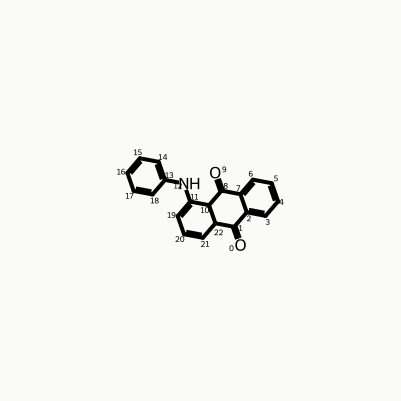 O=C1c2ccccc2C(=O)C2C(Nc3ccccc3)=CC=CC12